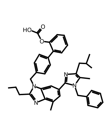 CCCc1nc2c(C)cc(-c3nc(CC(C)C)c(C)n3Cc3ccccc3)cc2n1Cc1ccc(-c2ccccc2OC(=O)O)cc1